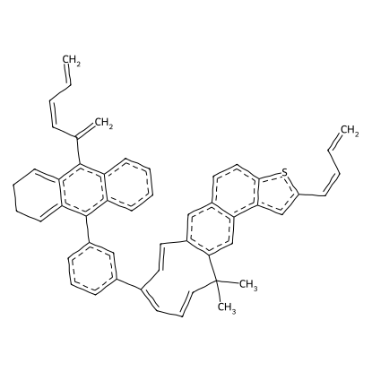 C=C/C=C\C(=C)c1c2c(c(-c3cccc(C4=C/C=C/C(C)(C)c5cc6c(ccc7sc(/C=C\C=C)cc76)cc5\C=C\4)c3)c3ccccc13)=CCCC=2